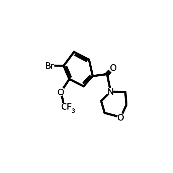 O=C(c1ccc(Br)c(OC(F)(F)F)c1)N1CCOCC1